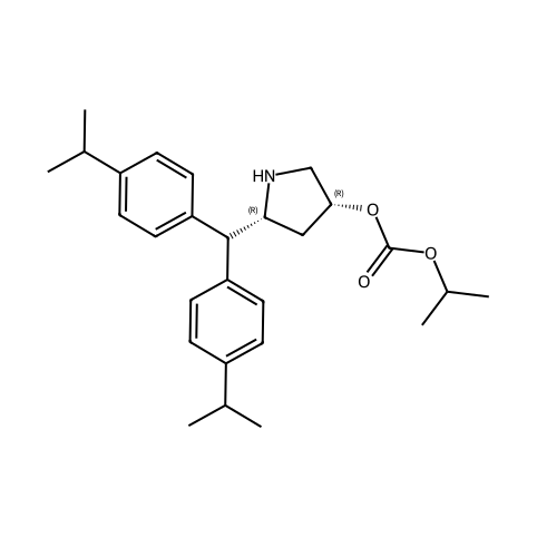 CC(C)OC(=O)O[C@H]1CN[C@@H](C(c2ccc(C(C)C)cc2)c2ccc(C(C)C)cc2)C1